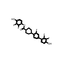 O=C(Oc1ccc(O)c(F)c1F)C1CCC(c2ccc(-c3ccc(O)c(F)c3F)cc2F)CC1